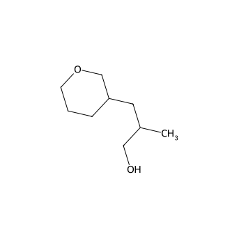 CC(CO)CC1CCCOC1